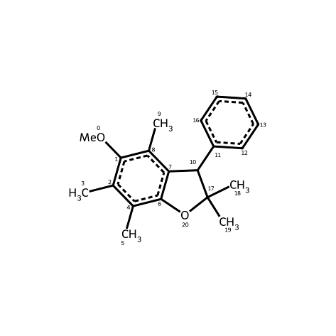 COc1c(C)c(C)c2c(c1C)C(c1ccccc1)C(C)(C)O2